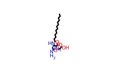 CCCCCCCCCCCCCC(=O)N[C@H](CC(N)=O)C(=O)N[C@@H](C)C(=O)O